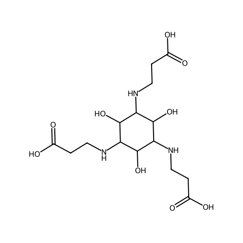 O=C(O)CCNC1C(O)C(NCCC(=O)O)C(O)C(NCCC(=O)O)C1O